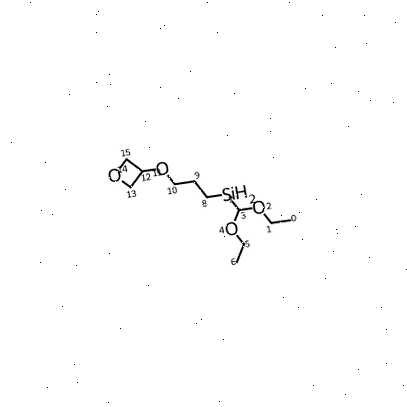 CCOC(OCC)[SiH2]CCCOC1COC1